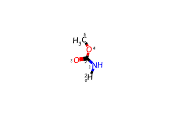 [2H]NC(=O)OC